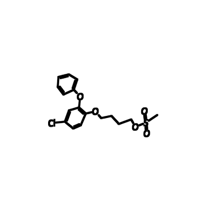 CS(=O)(=O)OCCCCOc1ccc(Cl)cc1Oc1ccccc1